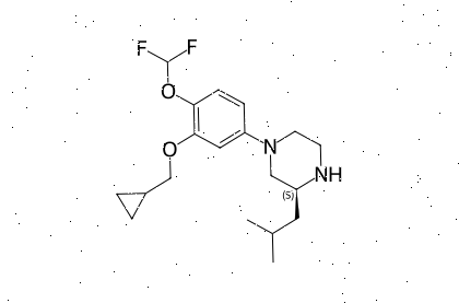 CC(C)C[C@H]1CN(c2ccc(OC(F)F)c(OCC3CC3)c2)CCN1